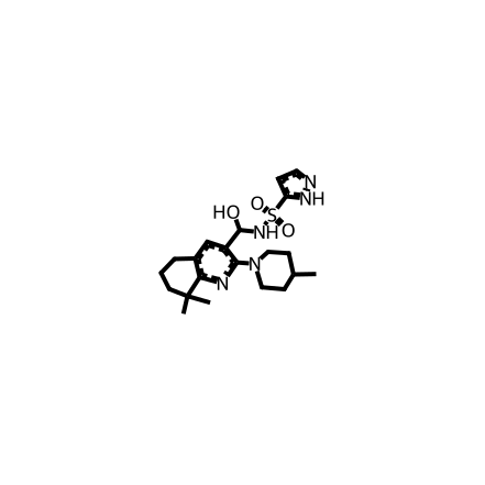 CC1CCN(c2nc3c(cc2C(O)NS(=O)(=O)c2ccn[nH]2)CCCC3(C)C)CC1